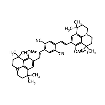 COc1c(C=Cc2cc(C#N)c(C=Cc3cc4c5c(c3OC)C(C)(C)CCN5CCC4(C)C)cc2C#N)cc2c3c1C(C)(C)CCN3CCC2(C)C